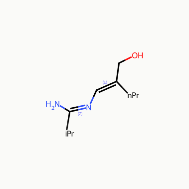 CCC/C(=C\N=C(/N)C(C)C)CO